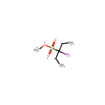 CCC(P)(CC)S(=O)(=O)OC